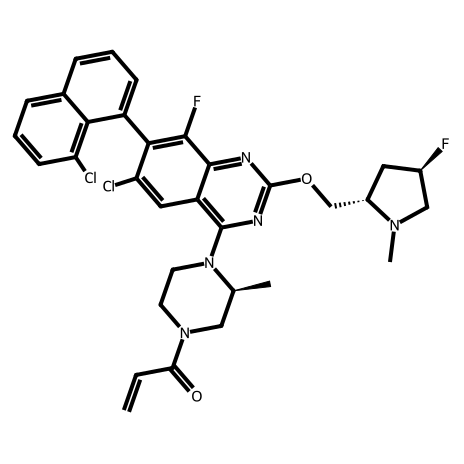 C=CC(=O)N1CCN(c2nc(OC[C@@H]3C[C@@H](F)CN3C)nc3c(F)c(-c4cccc5cccc(Cl)c45)c(Cl)cc23)[C@@H](C)C1